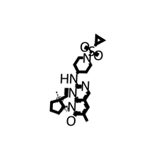 C=C[C@]1(C)CCC[C@H]1n1c(=O)c(C)cc2cnc(NC3CCN(S(=O)(=O)C4CC4)CC3)nc21